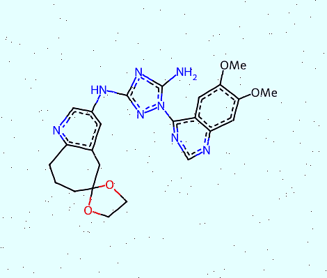 COc1cc2ncnc(-n3nc(Nc4cnc5c(c4)CC4(CCC5)OCCO4)nc3N)c2cc1OC